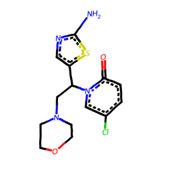 Nc1ncc(C(CN2CCOCC2)n2cc(Cl)ccc2=O)s1